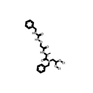 CCOC(CN(Cc1ccccc1)C(=O)[C@H](C)NC(=O)CONC(=O)NCc1ccccc1)OCC